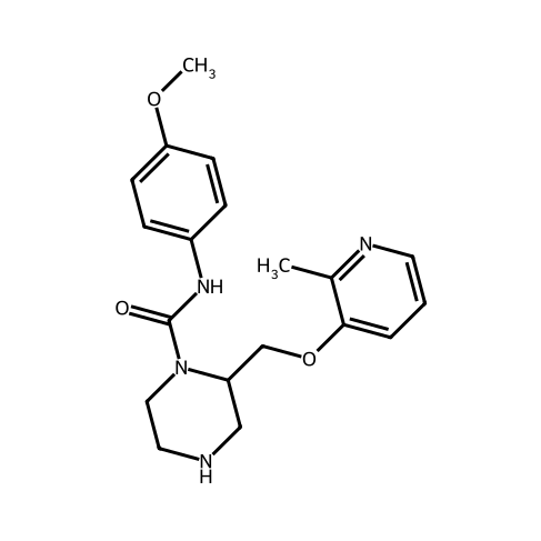 COc1ccc(NC(=O)N2CCNCC2COc2cccnc2C)cc1